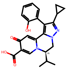 CC(C)[C@@H]1Cn2nc(C3CC3)c(-c3ccccc3O)c2-c2cc(=O)c(C(=O)O)cn21